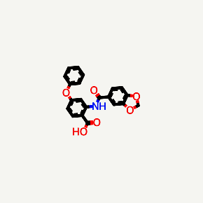 O=C(Nc1cc(Oc2ccccc2)ccc1C(=O)O)c1ccc2c(c1)OCO2